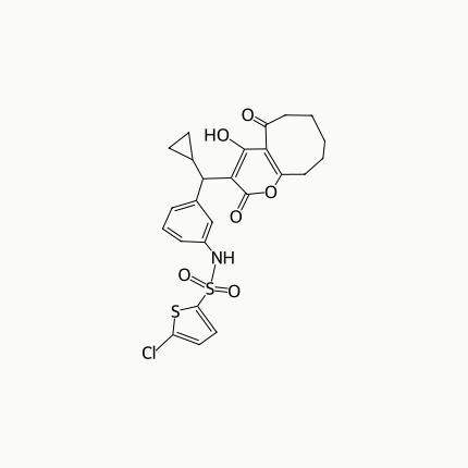 O=C1CCCCCc2oc(=O)c(C(c3cccc(NS(=O)(=O)c4ccc(Cl)s4)c3)C3CC3)c(O)c21